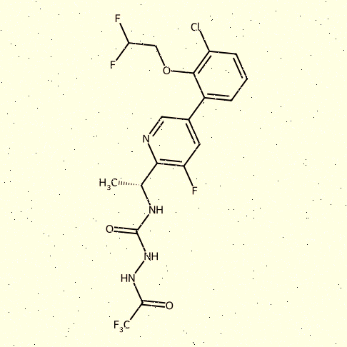 C[C@@H](NC(=O)NNC(=O)C(F)(F)F)c1ncc(-c2cccc(Cl)c2OCC(F)F)cc1F